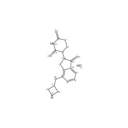 Cl.O=C1CCC(N2Cc3c(OC4CNC4)cccc3C2=O)C(=O)N1